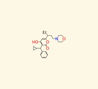 CCC(CCN1CCOCC1)c1cc(O)c(C(c2ccccc2)C2CC2)c(=O)o1